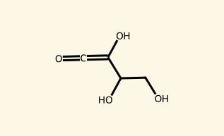 O=C=C(O)C(O)CO